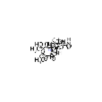 CO[C@H]1C[C@H]2C(=O)C[C@@H]3C[C@]2(O[C@H]3[C@H](OC(=O)c2ccc[nH]2)[C@H](C)[C@H](C)O)/C(C)=C/[C@@H](C)[C@@H]([C@@H](C)O)OC1=O